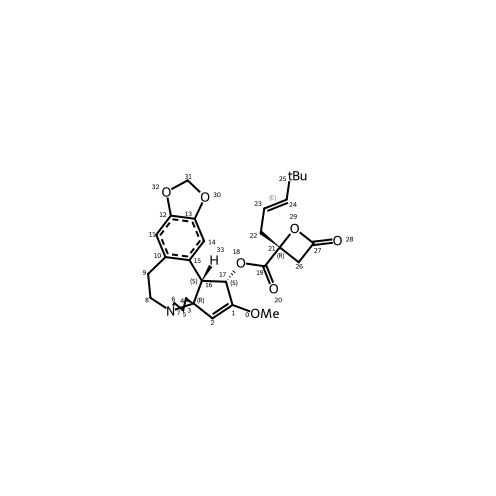 COC1=C[C@]23CCCN2CCc2cc4c(cc2[C@@H]3[C@@H]1OC(=O)[C@@]1(C/C=C/C(C)(C)C)CC(=O)O1)OCO4